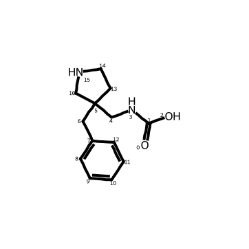 O=C(O)NCC1(Cc2ccccc2)CCNC1